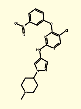 CN1CCC(n2cc(Nc3ncc(Cl)c(Oc4cccc([N+](=O)[O-])c4)n3)cn2)CC1